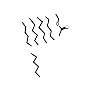 CCCCCC.CCCCCC.CCCCCC.CCCCCC.CCCCCC.CCOC(C)=O